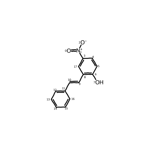 O=[N+]([O-])c1ccc(O)c(/C=C/c2ccccc2)c1